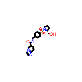 O=C(NCc1ccc(S(=O)(=O)N2CCC[C@@H]2CO)cc1)c1ccc2nccn2c1